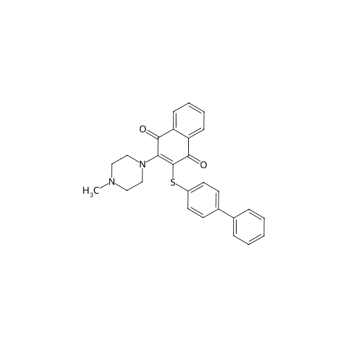 CN1CCN(C2=C(Sc3ccc(-c4ccccc4)cc3)C(=O)c3ccccc3C2=O)CC1